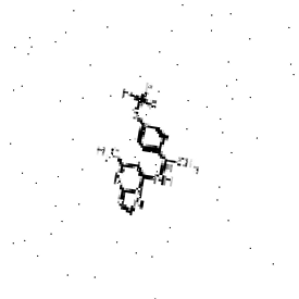 Cc1cc(N[C@H](C)c2ccc(SC(F)(F)F)cc2)n2ncnc2n1